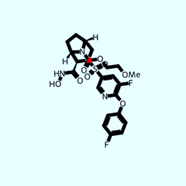 COCCOC(=O)N1[C@@H]2CC[C@H]1[C@H](C(=O)NO)N(S(=O)(=O)c1cnc(Oc3ccc(F)cc3)c(F)c1)C2